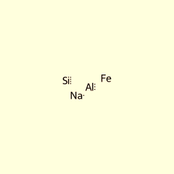 [Al].[Fe].[Na].[Si]